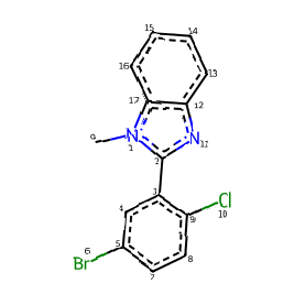 Cn1c(-c2cc(Br)ccc2Cl)nc2ccccc21